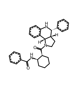 O=C(N[C@@H]1CCCC[C@@H]1C(=O)N1CC[C@H]2[C@@H](c3ccccc3)Nc3ccccc3[C@H]21)c1ccccc1